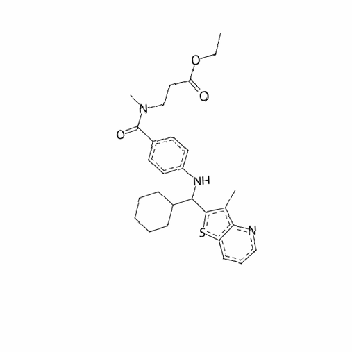 CCOC(=O)CCN(C)C(=O)c1ccc(NC(c2sc3cccnc3c2C)C2CCCCC2)cc1